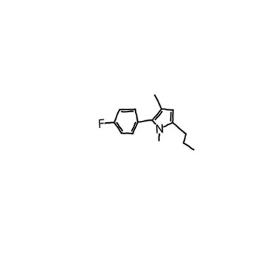 CCCc1cc(C)c(-c2ccc(F)cc2)n1C